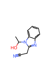 CC(O)n1c(CC#N)nc2ccccc21